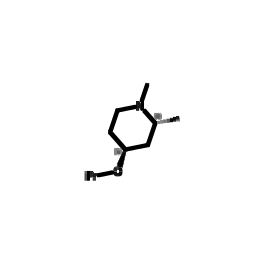 CC(C)O[C@H]1CCN(C)[C@H](C)C1